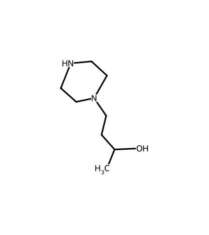 CC(O)CCN1CCNCC1